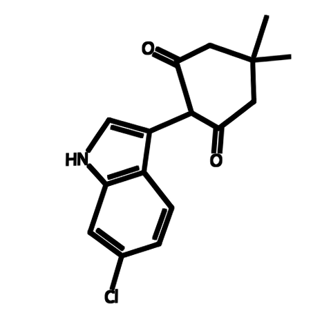 CC1(C)CC(=O)C(c2c[nH]c3cc(Cl)ccc23)C(=O)C1